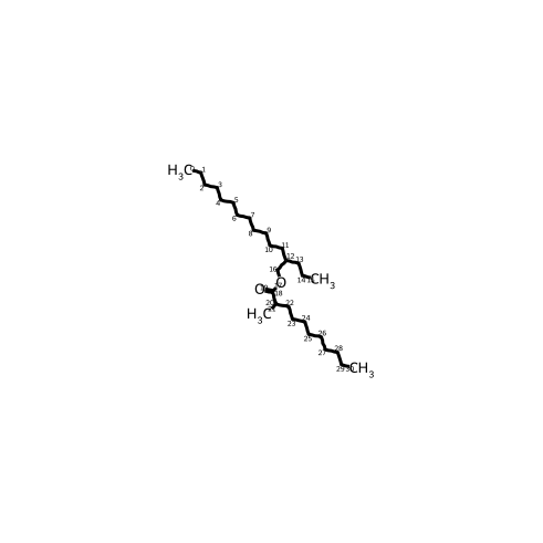 CCCCCCCCCCCCC(CCC)COC(=O)C(C)CCCCCCCCC